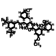 CCOc1cc(C(=O)N[C@@H](Cc2ccccc2)[C@@H](O)CNCc2cc(C(F)(F)F)cc(C(F)(F)F)c2)cc(N2CCCCS2(O)O)c1.Cl